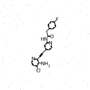 Nc1c(Cl)ccnc1C#Cc1ccnc(NC(=O)Cc2ccc(F)cc2)c1